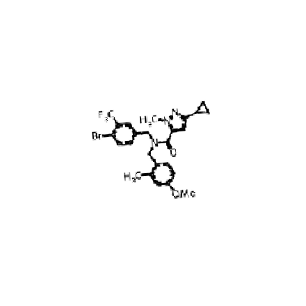 COc1ccc(CN(Cc2ccc(Br)c(C(F)(F)F)c2)C(=O)c2cc(C3CC3)nn2C)c(C)c1